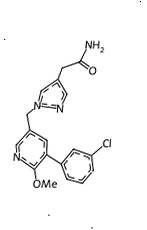 COc1ncc(Cn2cc(CC(N)=O)cn2)cc1-c1cccc(Cl)c1